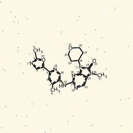 Cc1ncc(-c2cc(C)c(Nc3ncc4c(n3)n(C3CCOCC3)c(=O)n4C)cn2)o1